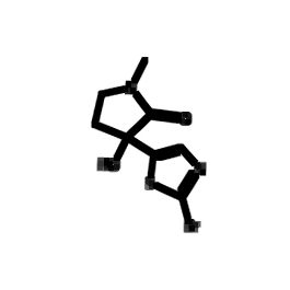 CN1CCC(O)(c2cnc(Br)s2)C1=O